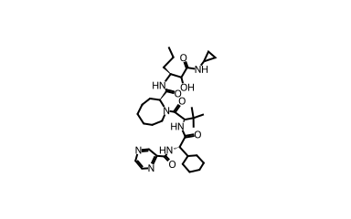 CCC[C@H](NC(=O)[C@@H]1CCCCCCN1C(=O)[C@@H](NC(=O)[C@@H](NC(=O)c1cnccn1)C1CCCCC1)C(C)(C)C)C(O)C(=O)NC1CC1